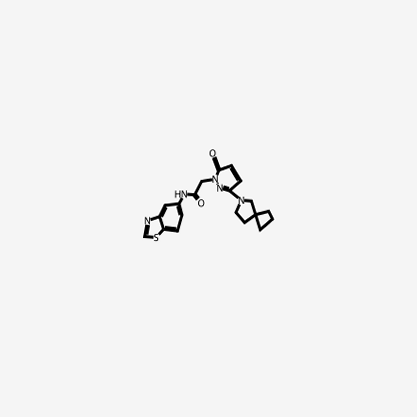 O=C(Cn1nc(N2CCC3(CCC3)C2)ccc1=O)Nc1ccc2scnc2c1